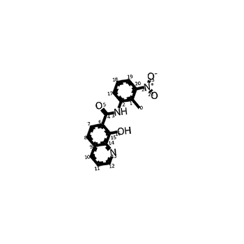 Cc1c(NC(=O)c2ccc3cccnc3c2O)cccc1[N+](=O)[O-]